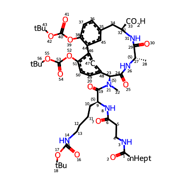 CCCCCCCC(=O)NCCC(=O)N[C@@H](CCCCNC(=O)OC(C)(C)C)C(=O)N(C)[C@@H]1C(=O)N[C@@H](C)C(=O)N[C@H](C(=O)O)Cc2ccc(OC(=O)OC(C)(C)C)c(c2)-c2cc1ccc2OC(=O)OC(C)(C)C